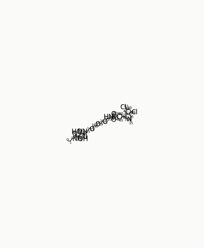 CCCNC(=O)[C@@H](O)[C@H](O)C(=O)NCCOCCOCCOCCNS(=O)(=O)c1ccc([C@@H]2CN(C)Cc3c(Cl)cc(Cl)cc32)cc1